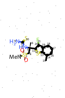 CNS(=O)(=O)C[C@](C)(NC(N)=S)c1sc2c(C)cccc2c1F